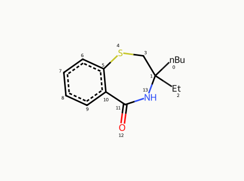 CCCCC1(CC)CSc2ccccc2C(=O)N1